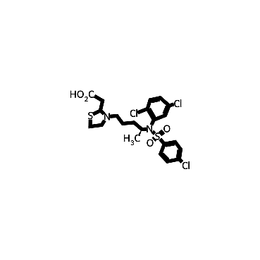 C[C@H](CCCN1CCSC1CC(=O)O)N(c1cc(Cl)ccc1Cl)S(=O)(=O)c1ccc(Cl)cc1